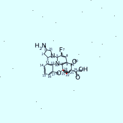 NC1CCN(C2C(F)=CC3=C4N2c2ccccc2OC42C=CC=CC2=C(C(=O)O)C3=O)C1